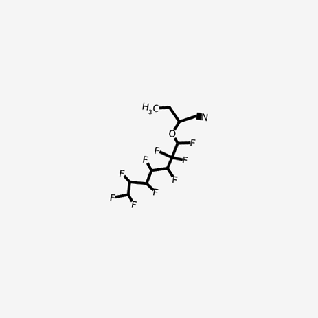 CCC(C#N)OC(F)C(F)(F)C(F)C(F)C(F)C(F)C(F)F